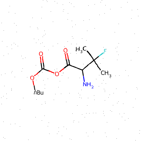 CCCCOC(=O)OC(=O)C(N)C(C)(C)F